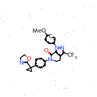 COc1ccc(-n2nc(C(F)(F)F)c3c2C(=O)N(c2ccc(C4(C5=NCCO5)CC4)cc2)CC3)cc1